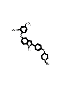 CCCCN1CCC(Oc2ccc(-c3cc4cc(Oc5ccc([N+](=O)[O-])cc5OC)ccc4n3CC)cc2)CC1